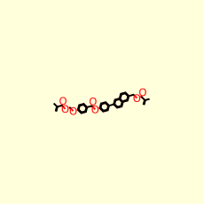 C=C(C)C(=O)OCOc1ccc(C(=O)Oc2ccc(-c3ccc4cc(COC(=O)C(=C)C)ccc4c3)cc2)cc1